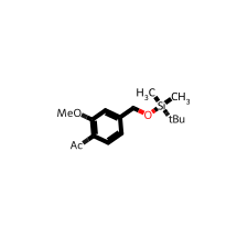 COc1cc(CO[Si](C)(C)C(C)(C)C)ccc1C(C)=O